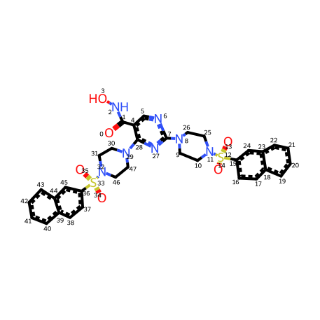 O=C(NO)c1cnc(N2CCN(S(=O)(=O)c3ccc4ccccc4c3)CC2)nc1N1CCN(S(=O)(=O)c2ccc3ccccc3c2)CC1